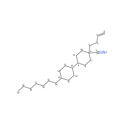 C=CCCC1(C#N)CCC(C2CCC(CCCCCCC)CC2)CC1